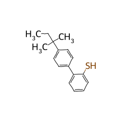 CCC(C)(C)c1ccc(-c2ccccc2S)cc1